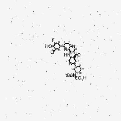 CCC(=O)c1cnc2ccc(-c3cc(F)c(O)c(Cl)c3)nc2c1Nc1ccc(N2CCCC(N(C(=O)O)C(C)(C)C)C2)nc1